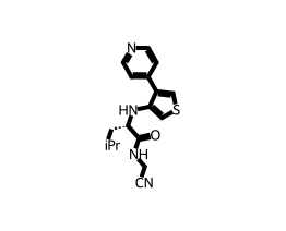 CC(C)C[C@H](Nc1cscc1-c1ccncc1)C(=O)NCC#N